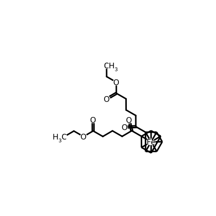 CCOC(=O)CCCC(=O)[C]12[CH]3[CH]4[CH]5[CH]1[Fe]45321678[CH]2[CH]1[CH]6[C]7(C(=O)CCCC(=O)OCC)[CH]28